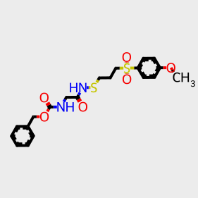 COc1ccc(S(=O)(=O)CCCSNC(=O)CNC(=O)OCc2ccccc2)cc1